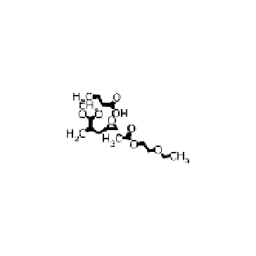 C=C(CC1CO1)C(=O)OC.C=CCC(=O)O.CCOCCOC(C)=O